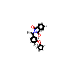 CCC(c1ccc(OC)c(OC2CCCC2)c1)N1C(=O)c2ccccc2C1=O